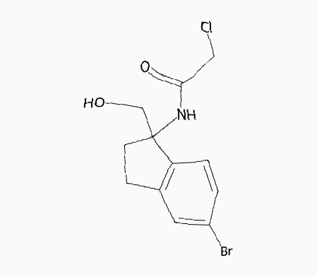 O=C(CCl)NC1(CO)CCc2cc(Br)ccc21